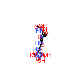 CC(=O)CC[C@@H](NC(=O)N[C@H](CCCCN(Cc1ccc(Br)cc1)C(=O)c1ccc(CNC(=O)CCCCNC(=O)CN2CCN(CC(=O)O)CCN(CC(=O)O)CCN(CC(=O)O)CC2)cc1)C(=O)O)C(=O)O